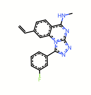 C=Cc1ccc2c(NC)nc3nnc(-c4cccc(F)c4)n3c2c1